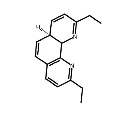 CCC1=NC2c3nc(CC)ccc3C=C[C@H]2C=C1